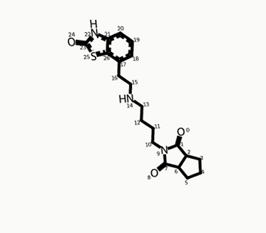 O=C1C2CCCC2C(=O)N1CCCCNCCc1cccc2[nH]c(=O)sc12